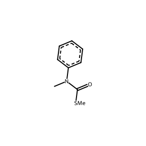 CSC(=O)N(C)c1ccccc1